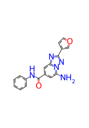 Nc1cc(C(=O)Nc2ccccc2)cc2nc(-c3ccoc3)nn12